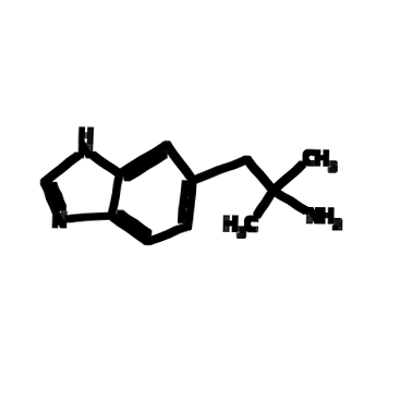 CC(C)(N)Cc1ccc2nc[nH]c2c1